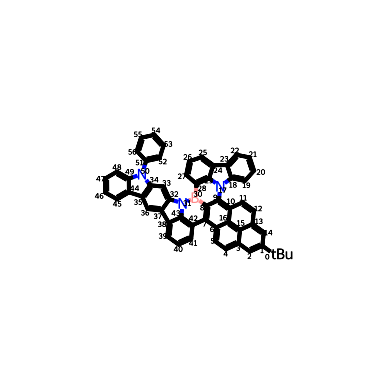 CC(C)(C)c1cc2ccc3c4c5c(c6ccc(c1)c2c36)-n1c2ccccc2c2cccc(c21)B5n1c2cc3c(cc2c2cccc-4c21)c1ccccc1n3-c1ccccc1